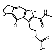 CNC(=O)c1[nH]c2cc3c(c(Cl)c2c1CCNC(=O)O)OCC3